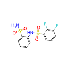 NS(=O)(=O)c1ccccc1NS(=O)(=O)c1cccc(F)c1F